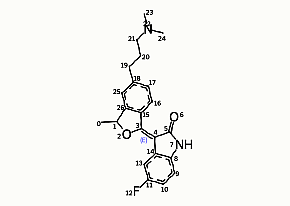 CC1O/C(=C2/C(=O)Nc3ccc(F)cc32)c2ccc(CCCN(C)C)cc21